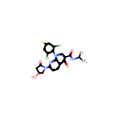 CCC(NC(=O)c1cn(-c2c(Cl)cc(F)cc2Cl)c2nc(N3C[C@@H](O)CC3=O)ccc2c1=O)C(F)(F)F